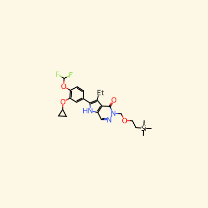 CCc1c(-c2ccc(OC(F)F)c(OC3CC3)c2)[nH]c2cnn(COCC[Si](C)(C)C)c(=O)c12